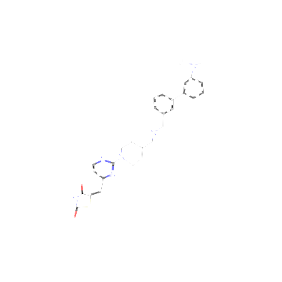 CN(C)c1cccc(-c2cccc(CNCC3CCN(c4nccc(C=C5SC(=O)NC5=O)n4)CC3)c2)c1